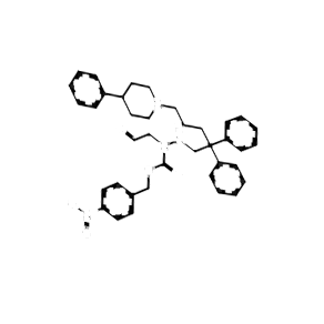 O=CCN(NCC(CCCN1CCC(c2ccccc2)CC1)(c1ccccc1)c1ccccc1)C(=O)OCc1ccc([N+](=O)[O-])cc1